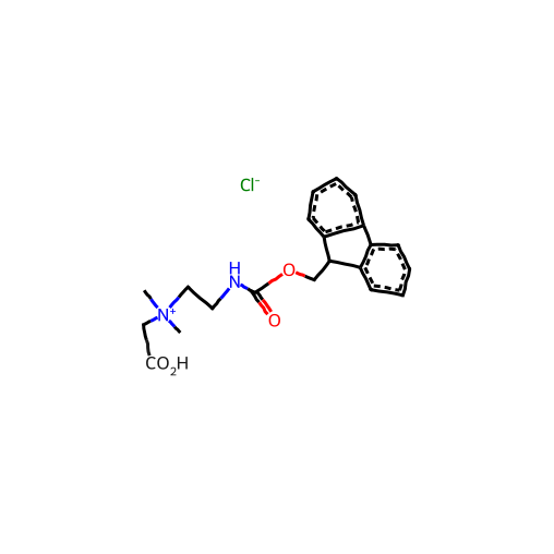 C[N+](C)(CCNC(=O)OCC1c2ccccc2-c2ccccc21)CC(=O)O.[Cl-]